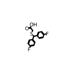 O=C(O)CSC(c1ccc(F)cc1)c1ccc(F)cc1